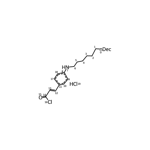 CCCCCCCCCCCCCCCCNc1ccc(C=CC(=O)Cl)cc1.Cl